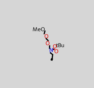 C#CCCN(CCOCCOCCOC)C(=O)OC(C)(C)C